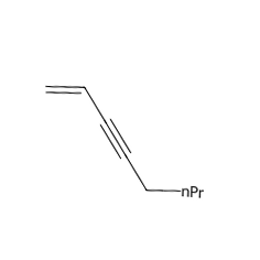 [CH2]CCCC#CC=C